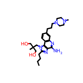 CCCCc1nc2c(N)nc3cc(CCCN4CCN(C)CC4)ccc3c2n1CC(C)(CO)CO